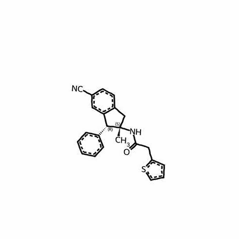 C[C@]1(NC(=O)Cc2cccs2)Cc2ccc(C#N)cc2[C@H]1c1ccccc1